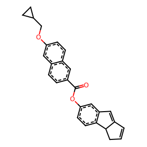 O=C(Oc1ccc2c(c1)C=C1C=CCC12)c1ccc2cc(OCC3CC3)ccc2c1